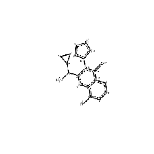 NC(c1nc2c(Cl)cccc2c(=O)n1-c1cc[nH]n1)C1CC1